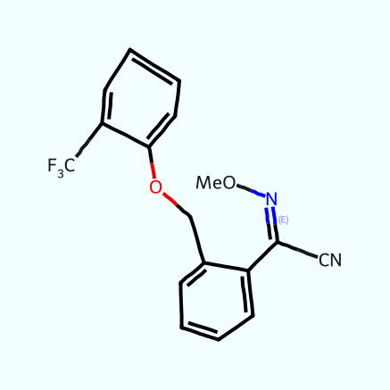 CO/N=C(/C#N)c1ccccc1COc1ccccc1C(F)(F)F